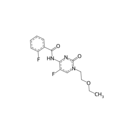 CCOCCn1cc(F)c(NC(=O)c2ccccc2F)nc1=O